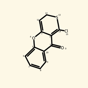 O=c1c2c(oc3ccccc13)=CCSC=2Cl